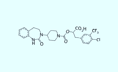 O=C(O)C(Cc1ccc(Cl)c(C(F)(F)F)c1)OC(=O)N1CCC(N2CCc3ccccc3NC2=O)CC1